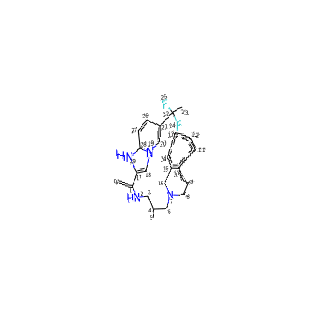 C=C(NCC(C)CN1CCc2ccccc2C1)C1=CN2C=C(C(C)(F)F)C=CC2N1